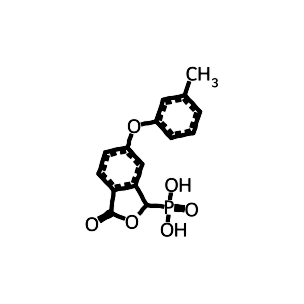 Cc1cccc(Oc2ccc3c(c2)C(P(=O)(O)O)OC3=O)c1